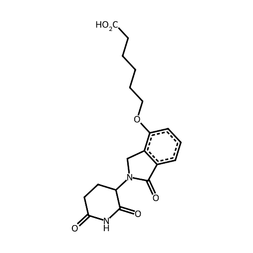 O=C(O)CCCCCOc1cccc2c1CN(C1CCC(=O)NC1=O)C2=O